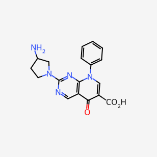 NC1CCN(c2ncc3c(=O)c(C(=O)O)cn(-c4ccccc4)c3n2)C1